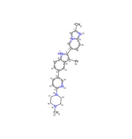 Cc1cn2cc(-c3[nH]c4ccc(-c5ccc(N6CCN(C)CC6)nc5)cc4c3C(C)C)ccc2n1